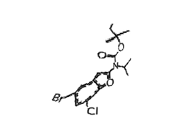 CC(C)N(C(=O)OC(C)(C)C)c1cc2cc(Br)cc(Cl)c2o1